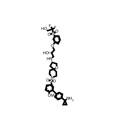 COc1ccc(S(=O)(=O)N2CCC3(CC2)C[C@H](NC[C@H](O)COc2cccc(S(=O)(=O)C(F)(F)CO)c2)CO3)cc1-c1ccc(C2(N)CC2)cc1